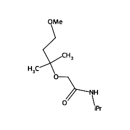 COCCC(C)(C)OCC(=O)NC(C)C